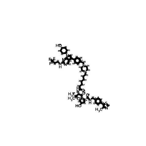 Cc1ncsc1-c1ccc(CNC(=O)[C@@H]2C[C@@H](O)CN2C(=O)[C@@H](NC(=O)CCCCCCN2CCN(Cc3ccc(-c4cn([C@H]5CC[C@H](O)CC5)c5nc(NCCC(F)(F)F)ncc45)cc3)CC2)C(C)(C)C)cc1